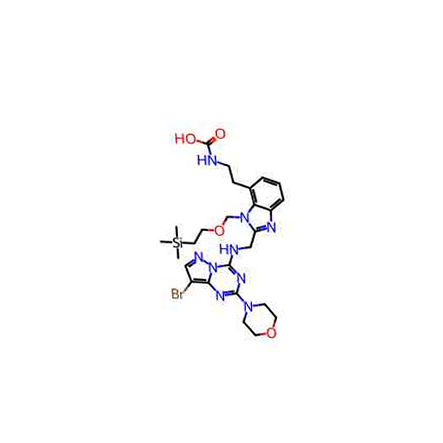 C[Si](C)(C)CCOCn1c(CNc2nc(N3CCOCC3)nc3c(Br)cnn23)nc2cccc(CCNC(=O)O)c21